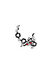 CCOC(=O)[C@H]1[C@@H]2CC[C@H](CN1S(=O)(=O)c1ccc(Oc3ccc(OCOC)cc3)nc1)N2C(=O)OCCOC